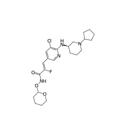 O=C(NOC1CCCCO1)/C(F)=C/c1cnc(N[C@@H]2CCCN(C3CCCC3)C2)c(Cl)c1